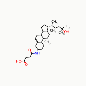 CC(CCC(C)(C)O)[C@H]1CCC2C3CC=C4C[C@@H](NC(=O)CCC(=O)O)CC[C@]4(C)C3CC[C@@]21C